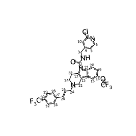 O=C(NCc1ccnc(Cl)c1)n1c2c(c3cc(OC(F)(F)F)ccc31)CN(CC=Cc1ccc(C(F)(F)F)cc1)CC2